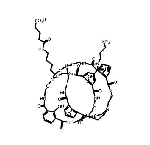 NCCCNC(=O)c1cc2c(O)c(c1)C(=O)NCCN1CCNC(=O)c3cccc(c3O)C(=O)NCCN(CCNC2=O)CCN2CCNC(=O)c3cccc(c3O)C(=O)NCCN(CCNC(=O)c3cccc(c3O)C(=O)NCC2)CC1CCCCNC(=O)CCCC(=O)O